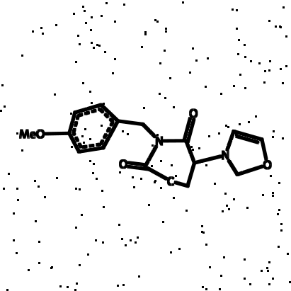 COc1ccc(CN2C(=O)CCC(N3C=COC3)C2=O)cc1